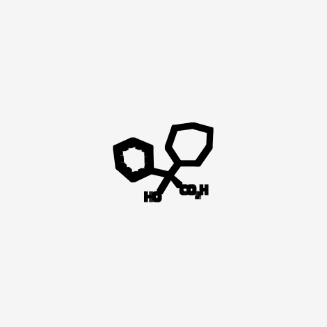 O=C(O)[C@@](O)(c1ccccc1)C1CCCCCC1